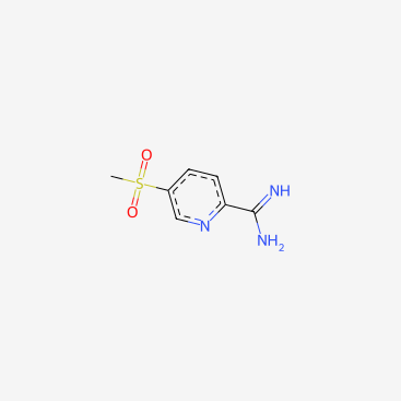 CS(=O)(=O)c1ccc(C(=N)N)nc1